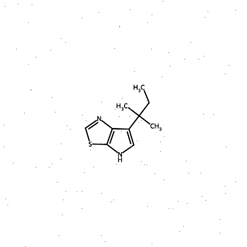 CCC(C)(C)c1c[nH]c2scnc12